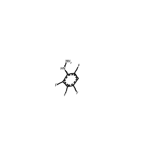 NNc1c(F)cc(F)c(F)c1F